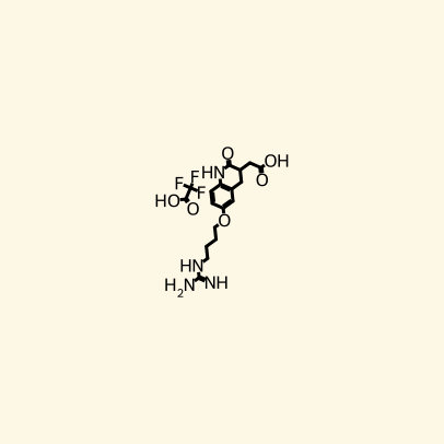 N=C(N)NCCCCOc1ccc2c(c1)CC(CC(=O)O)C(=O)N2.O=C(O)C(F)(F)F